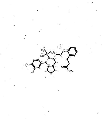 COC(=O)CCc1ccccc1[C@@H](C)OC[C@H](CN1CCC[C@H]1Cc1ccc(C)c(F)c1)O[Si](C)(C)C(C)(C)C